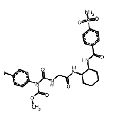 COC(=O)N(C(=O)NCC(=O)NC1CCCCC1NC(=O)c1ccc(S(N)(=O)=O)cc1)c1ccc(I)cc1